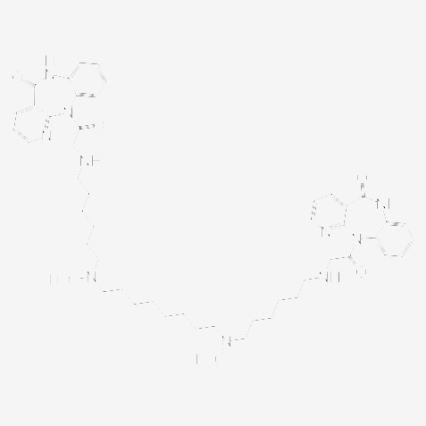 CN(CCCCCCCCN(C)CCCCCCNCC(=O)N1c2ccccc2NC(=O)c2cccnc21)CCCCCCNCC(=O)N1c2ccccc2NC(=O)c2cccnc21